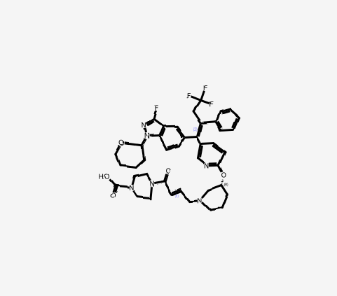 O=C(O)N1CCN(C(=O)/C=C/CN2CCC[C@@H](Oc3ccc(/C(=C(/CC(F)(F)F)c4ccccc4)c4ccc5c(c4)c(F)nn5C4CCCCO4)cn3)C2)CC1